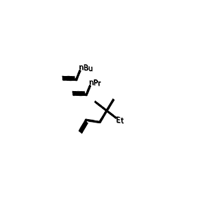 C=CCC(C)(C)CC.C=CCCC.C=CCCCC